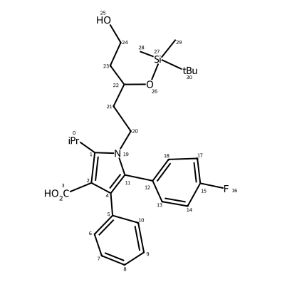 CC(C)c1c(C(=O)O)c(-c2ccccc2)c(-c2ccc(F)cc2)n1CCC(CCO)O[Si](C)(C)C(C)(C)C